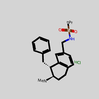 CCCS(=O)(=O)NCc1ccc2c(c1)[C@@H](Cc1ccccc1)[C@H](NC)CC2.Cl